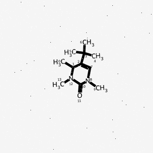 CC1C(C(C)(C)C)=CN(C)C(=O)N1C